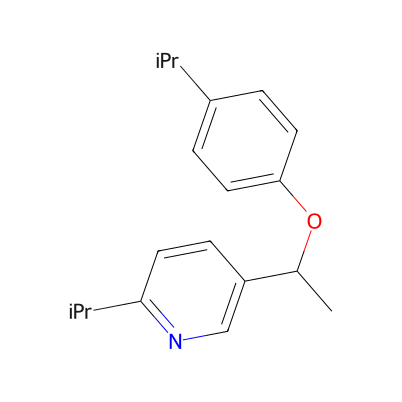 CC(C)c1ccc(OC(C)c2ccc(C(C)C)nc2)cc1